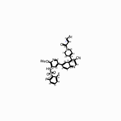 COc1ncc(-c2ccc3ncc(C#N)c(C4=CCN(C(=O)/C=C/C(C)=O)CC4)c3c2)cc1NS(=O)(=O)c1c(F)cccc1F